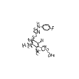 [C-]#[N+]c1c(N)nc(SCc2csc(Nc3ccc(F)cc3)n2)c(C#N)c1-c1ccc(OCCO)nc1